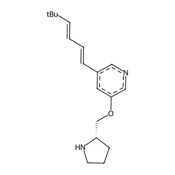 CC(C)(C)/C=C/C=C/c1cncc(OC[C@@H]2CCCN2)c1